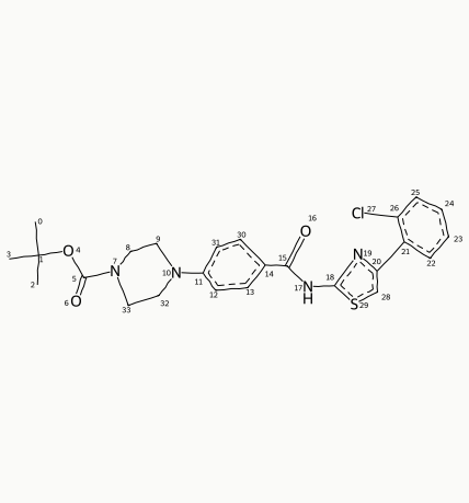 CC(C)(C)OC(=O)N1CCN(c2ccc(C(=O)Nc3nc(-c4ccccc4Cl)cs3)cc2)CC1